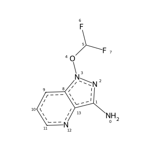 Nc1nn(OC(F)F)c2cccnc12